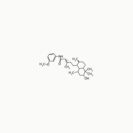 C=C1CCC2C(C(C)CC(O)C2(C)C)C1CC/C(C)=C/C(=O)Nc1cccc(OC)c1